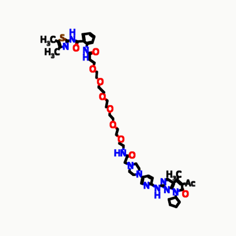 CC(=O)c1c(C)c2cnc(Nc3ccc(N4CCN(CC(=O)NCCOCCOCCOCCOCCOCCOCCC(=O)Nc5ccccc5C(=O)Nc5nc(C)c(C)s5)CC4)cn3)nc2n(C2CCCC2)c1=O